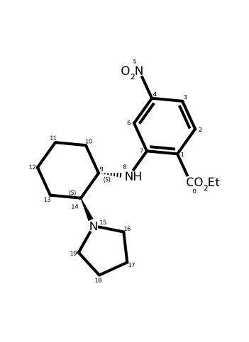 CCOC(=O)c1ccc([N+](=O)[O-])cc1N[C@H]1CCCC[C@@H]1N1CCCC1